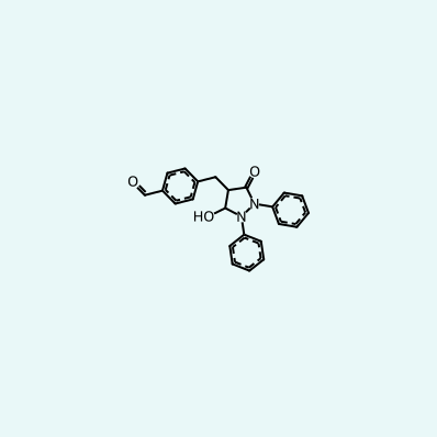 O=Cc1ccc(CC2C(=O)N(c3ccccc3)N(c3ccccc3)C2O)cc1